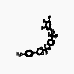 Cc1ccc(C2COC(C(F)(F)Oc3ccc(C(F)(F)Oc4cc(F)c(F)c(F)c4)cc3)OC2)cc1